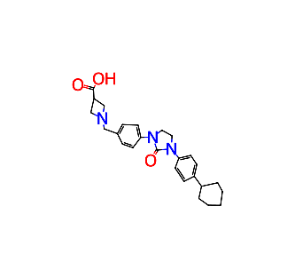 O=C(O)C1CN(Cc2ccc(N3CCN(c4ccc(C5CCCCC5)cc4)C3=O)cc2)C1